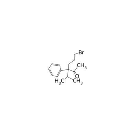 CC(=O)C(CCCBr)(c1ccccc1)C(C)C